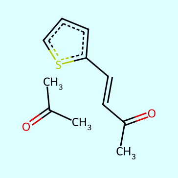 CC(=O)C=Cc1cccs1.CC(C)=O